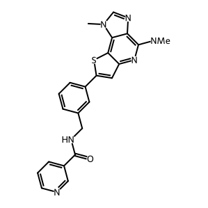 CNc1nc2cc(-c3cccc(CNC(=O)c4cccnc4)c3)sc2c2c1ncn2C